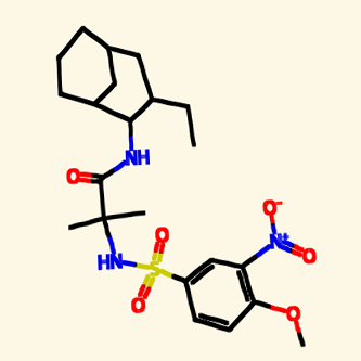 CCC1CC2CCCC(C2)C1NC(=O)C(C)(C)NS(=O)(=O)c1ccc(OC)c([N+](=O)[O-])c1